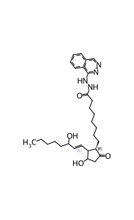 CCCCCC(O)/C=C/C1C(O)CC(=O)[C@@H]1CCCCCCCC(=O)NNc1nncc2ccccc12